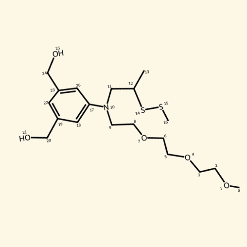 COCCOCCOCCN(CC(C)SSC)c1cc(CO)cc(CO)c1